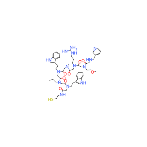 CCCN(CC(=O)N(CCc1c[nH]c2ccccc12)CC(=O)NCCS)C(=O)CN(CCc1c[nH]c2ccccc12)C(=O)CN(C)C(=O)CN(CCCNC(=N)N)C(=O)CN(CCOC)C(=O)CNCc1cccnc1